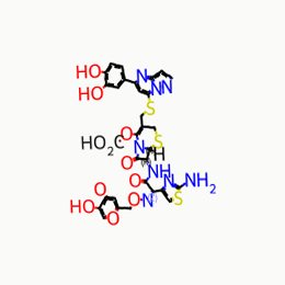 Nc1nc(/C(=N/OCc2cc(=O)c(O)co2)C(=O)N[C@@H]2C(=O)N3C(OC(=O)O)=C(CSc4cc(-c5ccc(O)c(O)c5)nc5ccnn45)CS[C@H]23)cs1